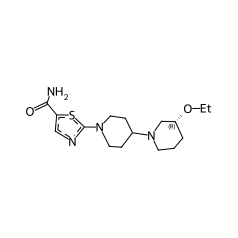 CCO[C@@H]1CCCN(C2CCN(c3ncc(C(N)=O)s3)CC2)C1